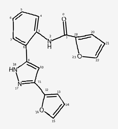 O=C(Nc1ccccc1-c1cc(-c2ccco2)n[nH]1)c1ccco1